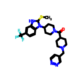 CSC1Nc2cc(C(F)(F)F)ccc2N1C1CCN(C(=O)C2CCN(Cc3ccnnc3)CC2)CC1